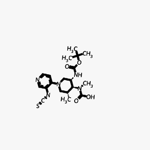 C[C@@H]1CN(c2ccncc2N=C=S)C[C@H](NC(=O)OC(C)(C)C)[C@H]1N(C)C(=O)O